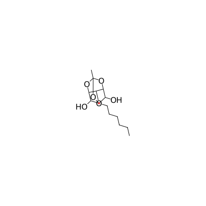 CCCCCCOC1C2OC3(C)OC(C2O)C(O)C1O3